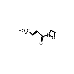 O=C(O)/C=C/C(=O)N1CCO1